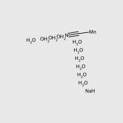 N#[C][Mn].O.O.O.O.O.O.O.O.O.O.[NaH]